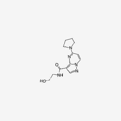 O=C(NCCO)c1cnn2ccc(N3CCCC3)nc12